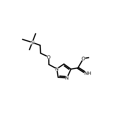 COC(=N)c1cn(COCC[Si](C)(C)C)cn1